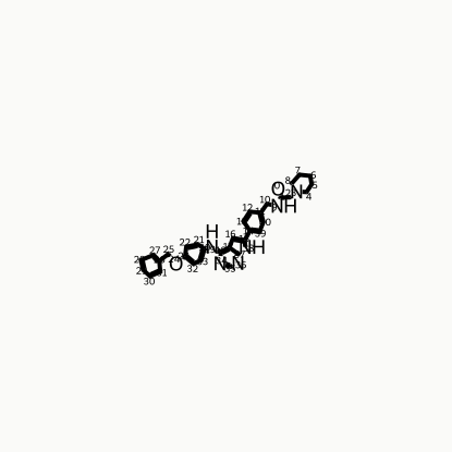 O=C(CN1CCCCC1)NCc1ccc(-c2cc3c(Nc4ccc(OCc5ccccc5)cc4)ncnc3[nH]2)cc1